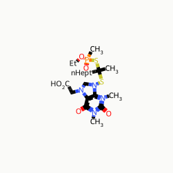 CCCCCCCC(C)(SN1CN(CC(=O)O)c2c1n(C)c(=O)n(C)c2=O)SP(C)(=O)OCC